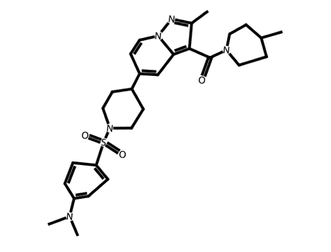 Cc1nn2ccc(C3CCN(S(=O)(=O)c4ccc(N(C)C)cc4)CC3)cc2c1C(=O)N1CCC(C)CC1